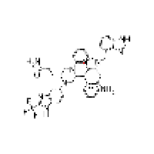 NC(=O)CCC1CN(c2ccccc2)C(C(c2ccccc2)c2ncn(Cc3cccc4[nH]cnc34)c2CC(N)=O)CN1c1ccc2[nH]c(C(F)(F)F)nc2c1